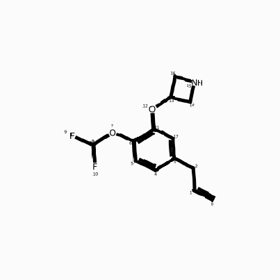 C=CCc1ccc(OC(F)F)c(OC2CNC2)c1